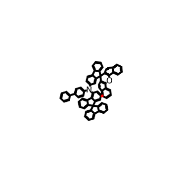 c1ccc(-c2ccc(N(c3ccc4c(c3)C3(c5ccccc5-4)c4ccc5ccccc5c4Oc4c3ccc3ccccc43)c3cccc4c3-c3ccccc3C43c4ccccc4-c4ccccc43)cc2)cc1